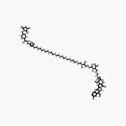 CCc1c2c(nc3ccc(C)cc13)-c1cc3c(c(=O)n1C2)COC(=O)C3(CC)OC(=O)OCOCC(NC(=O)COCC(=O)NCCOCCOCCOCCOCCOCCOCCOCCOCCn1cc(CNC(=O)C2CCC(CN3C(=O)CC(C)C3=O)CC2)nn1)C(C)C